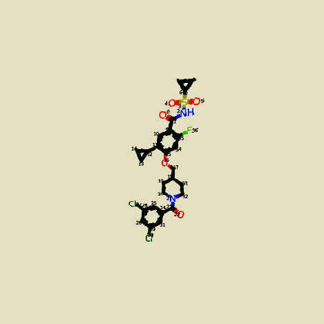 O=C(NS(=O)(=O)C1CC1)c1cc(C2CC2)c(OCC2CCN(C(=O)c3cc(Cl)cc(Cl)c3)CC2)cc1F